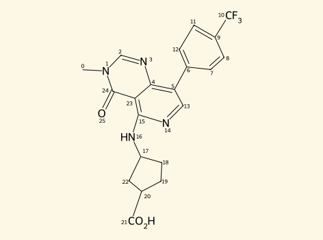 Cn1cnc2c(-c3ccc(C(F)(F)F)cc3)cnc(NC3CCC(C(=O)O)C3)c2c1=O